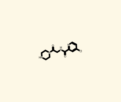 O=C(NCC(=O)N1CCNCC1)c1cc(Cl)ccn1